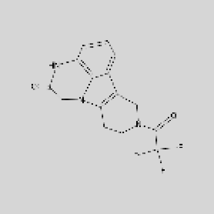 O=C1Cn2c3c(c4cccc(c42)N1)CN(C(=O)C(F)(F)F)CC3